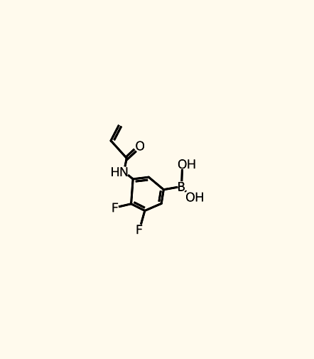 C=CC(=O)Nc1cc(B(O)O)cc(F)c1F